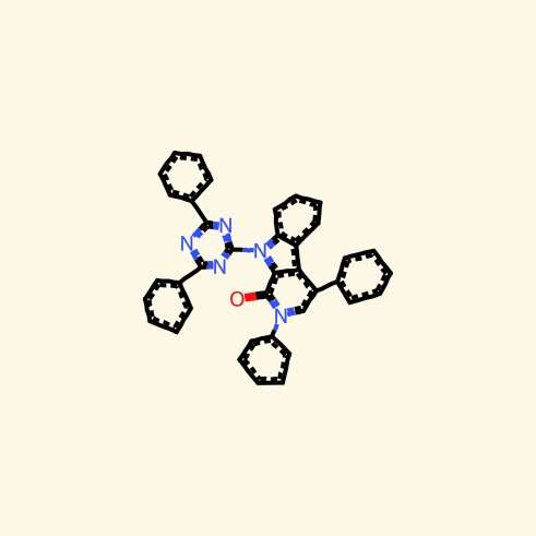 O=c1c2c(c(-c3ccccc3)cn1-c1ccccc1)c1ccccc1n2-c1nc(-c2ccccc2)nc(-c2ccccc2)n1